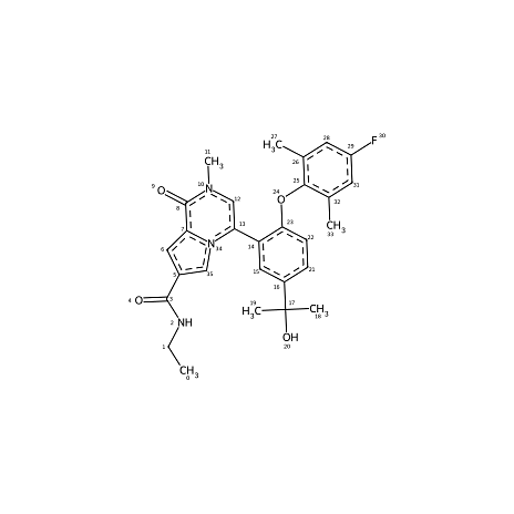 CCNC(=O)c1cc2c(=O)n(C)cc(-c3cc(C(C)(C)O)ccc3Oc3c(C)cc(F)cc3C)n2c1